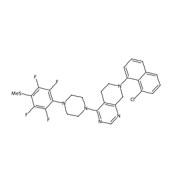 CSc1c(F)c(F)c(N2CCN(c3ncnc4c3CCN(c3cccc5cccc(Cl)c35)C4)CC2)c(F)c1F